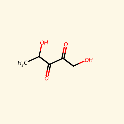 CC(O)C(=O)C(=O)CO